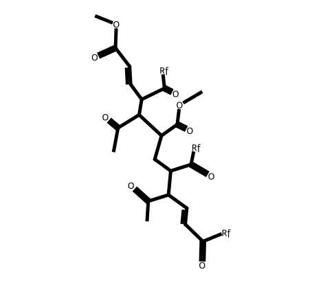 COC(=O)C=CC([C](=O)[Rf])C(C(C)=O)C(CC([C](=O)[Rf])C(C=C[C](=O)[Rf])C(C)=O)C(=O)OC